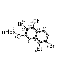 CCCCCCOc1cc2c(CC)c(Br)ccc2c(CC)c1Br